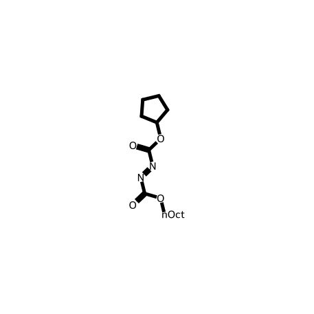 CCCCCCCCOC(=O)N=NC(=O)OC1CCCC1